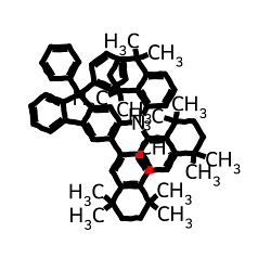 Cc1cc2c(cc1-c1cc3c(cc1N(c1cccc4c1C(C)(C)CCC4(C)C)c1cccc4c1C(C)(C)CCC4(C)C)C(c1ccccc1)(c1ccccc1)c1ccccc1-3)C(C)(C)CCC2(C)C